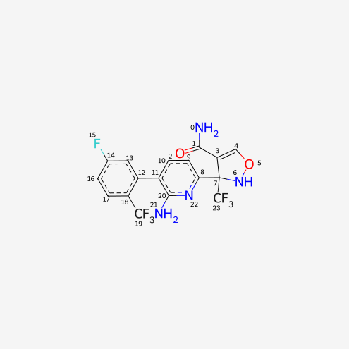 NC(=O)C1=CONC1(c1ccc(-c2cc(F)ccc2C(F)(F)F)c(N)n1)C(F)(F)F